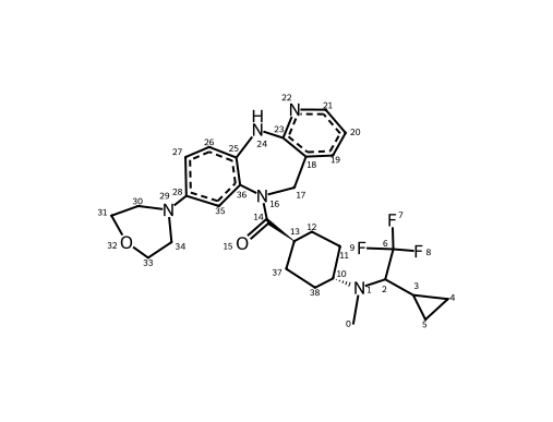 CN(C(C1CC1)C(F)(F)F)[C@H]1CC[C@H](C(=O)N2Cc3cccnc3Nc3ccc(N4CCOCC4)cc32)CC1